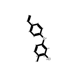 C=Cc1ccc(Oc2ccc(C)c(Cl)c2)cc1